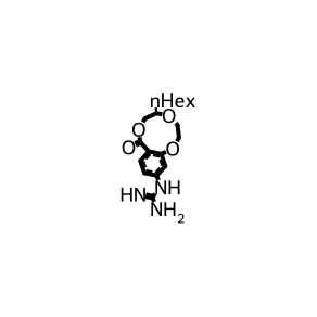 CCCCCC[C@@H]1COC(=O)c2ccc(NC(=N)N)cc2OCCO1